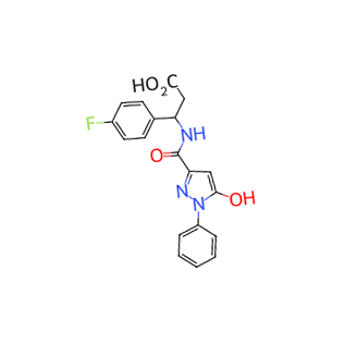 O=C(O)CC(NC(=O)c1cc(O)n(-c2ccccc2)n1)c1ccc(F)cc1